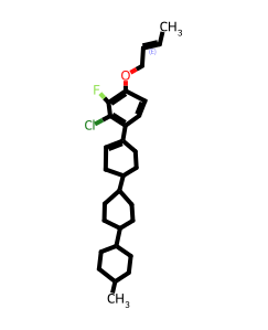 C/C=C/COc1ccc(C2=CCC(C3CCC(C4CCC(C)CC4)CC3)CC2)c(Cl)c1F